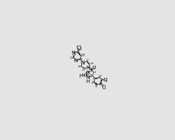 O=S(=O)(CC(NO)c1ccc(Cl)c(Cl)c1)N1C=CN(c2cc(Cl)ncn2)CC1